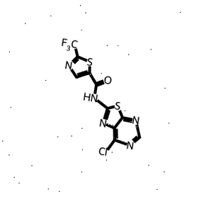 O=C(Nc1nc2c(Cl)ncnc2s1)c1cnc(C(F)(F)F)s1